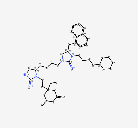 C=C1CC(C)CC(CC)(CCN2C(=N)NC[C@@H]2CCCCN2C[C@@H](Cc3cccc4ccccc34)N(CCCCC3CCCCC3)C2=N)C1